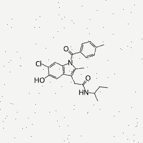 CCC(C)NC(=O)Cc1c(C)n(C(=O)c2ccc(C)cc2)c2cc(Cl)c(O)cc12